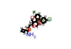 NC(=O)C1(SCC[C@@H]2OCC[C@@]3(S(=O)(=O)c4ccc(Cl)cc4)c4c(F)ccc(F)c4OC[C@@H]23)CCC1